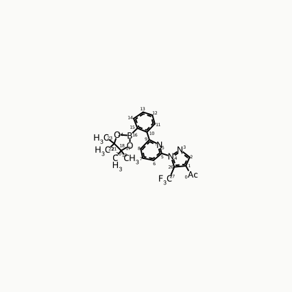 CC(=O)c1cnn(-c2cccc(-c3ccccc3B3OC(C)(C)C(C)(C)O3)n2)c1C(F)(F)F